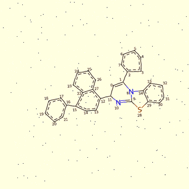 C1=C(c2ccccc2)N2C(=NC1c1ccc(-c3ccccc3)c3ccccc13)Sc1ccccc12